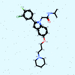 CC(C)NC(=O)Cn1c(-c2ccc(F)c(Cl)c2)cc2cc(OCCCN3CCCCC3)ccc21